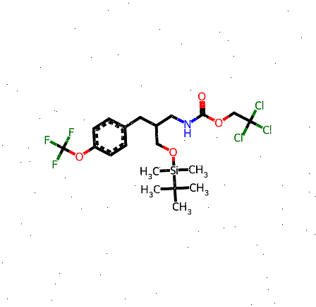 CC(C)(C)[Si](C)(C)OCC(CNC(=O)OCC(Cl)(Cl)Cl)Cc1ccc(OC(F)(F)F)cc1